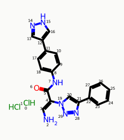 Cl.Cl.NC=C(C(=O)Nc1ccc(-c2cn[nH]c2)cc1)n1cc(-c2ccccc2)nn1